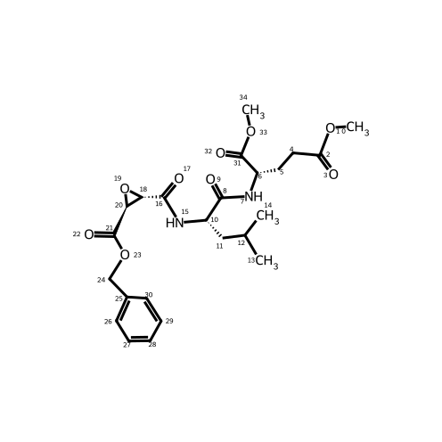 COC(=O)CC[C@H](NC(=O)[C@H](CC(C)C)NC(=O)[C@H]1O[C@@H]1C(=O)OCc1ccccc1)C(=O)OC